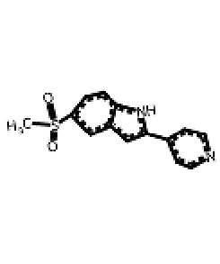 CS(=O)(=O)c1ccc2[nH]c(-c3ccncc3)cc2c1